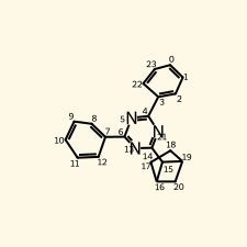 c1ccc(-c2nc(-c3ccccc3)nc(C3C4CCC3C4)n2)cc1